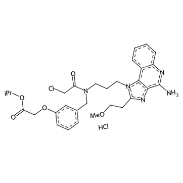 COCCc1nc2c(N)nc3ccccc3c2n1CCCN(Cc1cccc(OCC(=O)OC(C)C)c1)C(=O)CCl.Cl